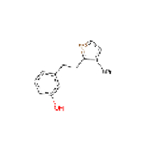 CCCc1ccsc1CCc1cccc(O)c1